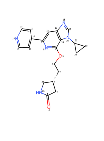 O=C1C[C@@H](CCOc2nc(-c3ccncc3)cc3ncn(C4CC4)c23)CN1